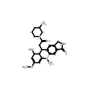 COC1=CC(O)C(C(CC(=O)N2CCCC(C)C2)c2ccc3c(c2)CNC3=O)C(OC)=C1